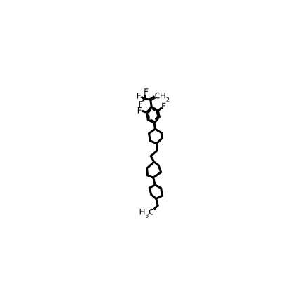 C=C(c1c(F)cc(C2CCC(CCC3CCC(C4CCC(CC)CC4)CC3)CC2)cc1F)C(F)(F)F